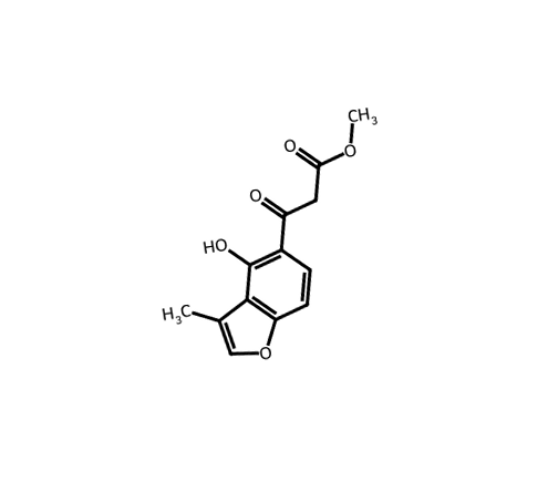 COC(=O)CC(=O)c1ccc2occ(C)c2c1O